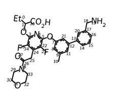 CCC(Oc1nc(Oc2cc(C)cc(-c3cccc(CN)c3)c2)c(F)c(CC(=O)N2CCOCC2)c1F)C(=O)O